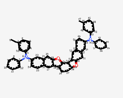 Cc1cccc(N(c2ccccc2)c2ccc3cc4c(cc3c2)oc2c4ccc3oc4cc5cc(N(c6ccccc6)c6cccc(C)c6)ccc5cc4c32)c1